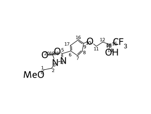 COCCn1nc(-c2ccc(OCC[C@@H](O)C(F)(F)F)cc2)oc1=O